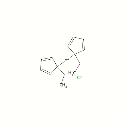 CC[C]1([Y+][C]2(CC)C=CC=C2)C=CC=C1.[Cl-]